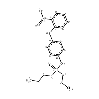 CCCSP(=O)(OCC)Oc1ccc(Sc2ccccc2[N+](=O)[O-])cc1